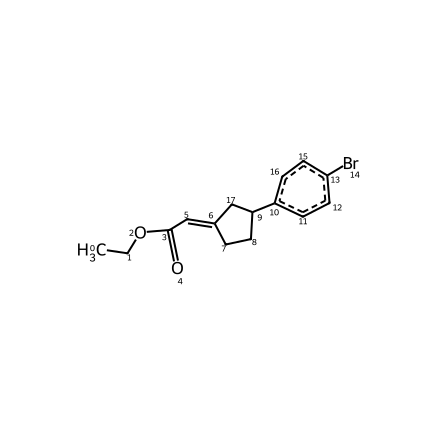 CCOC(=O)/C=C1\CCC(c2ccc(Br)cc2)C1